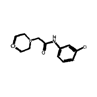 O=C(CN1CCOCC1)Nc1cc[c]c(Cl)c1